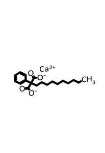 CCCCCCCCCCC(C(=O)[O-])(C(=O)[O-])c1ccccc1.[Ca+2]